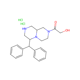 Cl.Cl.O=C(CO)N1CCN2C(CNCC2C(c2ccccc2)c2ccccc2)C1